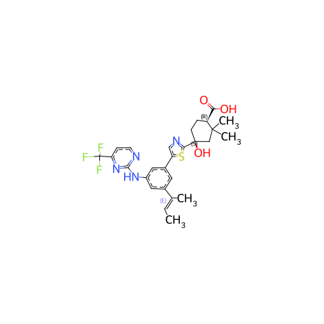 C/C=C(\C)c1cc(Nc2nccc(C(F)(F)F)n2)cc(-c2cnc([C@]3(O)CC[C@@H](C(=O)O)C(C)(C)C3)s2)c1